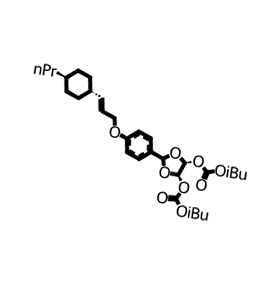 CCC[C@H]1CC[C@H](/C=C/COc2ccc(C3O[C@H](OC(=O)OCC(C)C)[C@@H](OC(=O)OCC(C)C)O3)cc2)CC1